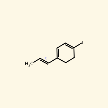 C/C=C/C1=CC=C(I)CC1